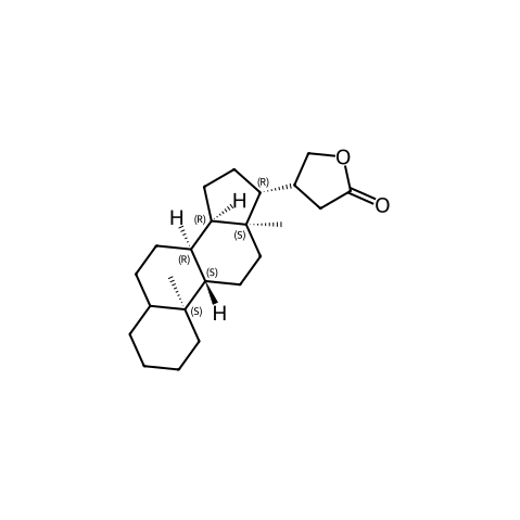 C[C@]12CC[C@H]3[C@@H](CCC4CCCC[C@@]43C)[C@H]1CC[C@@H]2C1COC(=O)C1